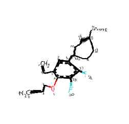 C=CCOc1c(C=C)cc(C2CCC(CCCCC)CC2)c(F)c1F